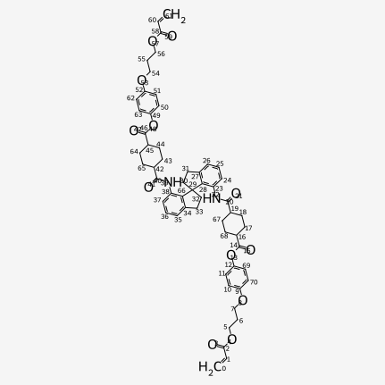 C=CC(=O)OCCCOc1ccc(OC(=O)C2CCC(C(=O)Nc3cccc4c3C3(CC4)CCc4cccc(NC(=O)C5CCC(C(=O)Oc6ccc(OCCCOC(=O)C=C)cc6)CC5)c43)CC2)cc1